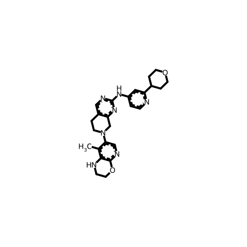 Cc1c(N2CCc3cnc(Nc4ccnc(C5CCOCC5)c4)nc3C2)cnc2c1NCCO2